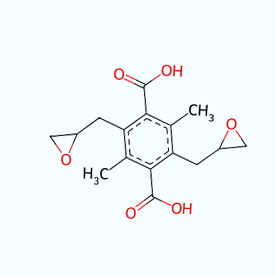 Cc1c(CC2CO2)c(C(=O)O)c(C)c(CC2CO2)c1C(=O)O